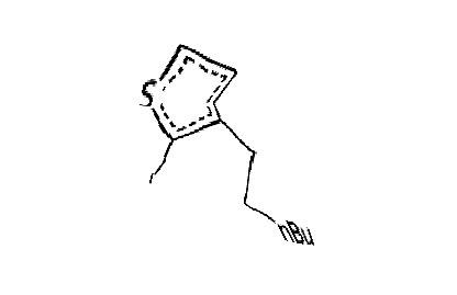 CCCCCCc1ccsc1I